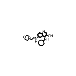 N#Cc1cnc2ccc(NCCN3CCOCC3)cc2c1NC1CCCCCC1